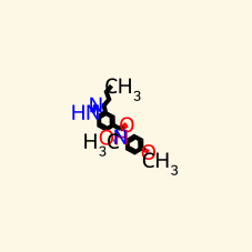 CCCc1n[nH]c2cc(O)c(C(=O)N(C)c3ccc(OC)cc3)cc12